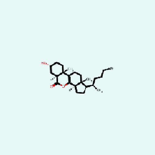 CC(C)CCC[C@@H](C)[C@H]1CC[C@H]2C3=C(CC[C@]12C)[C@@]1(C)CC[C@@H](O)C[C@@H]1C(=O)O3